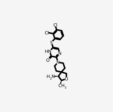 C[C@@H]1OCC2(CCN(c3ncc(Sc4cccc(Cl)c4Cl)[nH]c3=O)CC2)[C@@H]1N